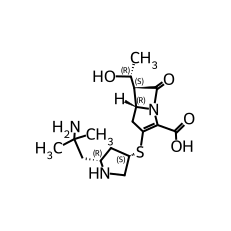 C[C@@H](O)[C@H]1C(=O)N2C(C(=O)O)=C(S[C@@H]3CN[C@H](CC(C)(C)N)C3)C[C@H]12